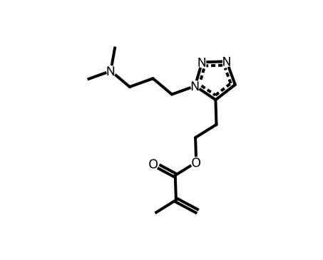 C=C(C)C(=O)OCCc1cnnn1CCCN(C)C